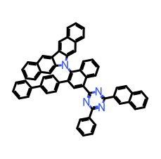 c1ccc(-c2ccc(-c3cc(-c4nc(-c5ccccc5)nc(-c5ccc6ccccc6c5)n4)c4ccccc4c3-n3c4cc5ccccc5cc4c4cc5ccccc5cc43)cc2)cc1